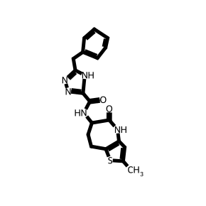 Cc1cc2c(s1)CCC(NC(=O)c1nnc(Cc3ccccc3)[nH]1)C(=O)N2